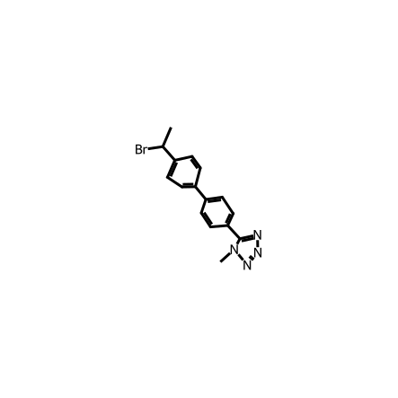 CC(Br)c1ccc(-c2ccc(-c3nnnn3C)cc2)cc1